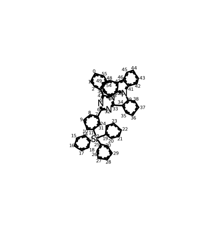 c1ccc(-c2nc(-c3cccc([Si](c4ccccc4)(c4ccccc4)c4ccccc4)c3)nc(-c3ccccc3-n3c4ccccc4c4ccccc43)n2)cc1